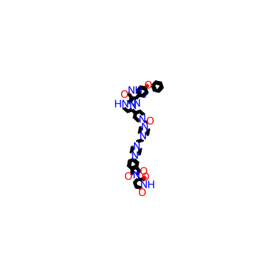 NC(=O)c1c(-c2ccc(Oc3ccccc3)cc2)nn2c1NCCC2C1CCN(C(=O)N2CCN(CCN3CCN(c4ccc5c(c4)C(=O)N(C4CCC(=O)NC4=O)C5=O)CC3)CC2)CC1